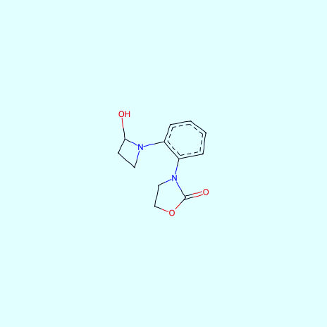 O=C1OCCN1c1ccccc1N1CCC1O